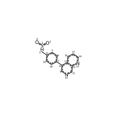 O=[SH](=O)Cc1ccc(-c2cncc3ncccc23)cc1